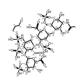 CC(=O)N[C@@H]1[C@@H](O)[C@H](O[C@@H]2O[C@H](C(=O)O)[C@@H](O[C@@H]3O[C@H](CO)[C@@H](O[C@H]4O[C@@H](C(=O)O)[C@H](O)[C@@H](O)[C@@H]4OS(=O)(=O)O)[C@H](OS(=O)(=O)O)[C@H]3NS(=O)(=O)O)[C@H](O)[C@H]2OS(=O)(=O)O)[C@H](COS(=O)(=O)O)O[C@H]1O.[CH2]CCCl